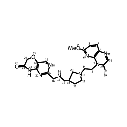 COc1ccc2c(n1)N(CCN1CC[C@@H](CNCc3ncc4c(n3)NC(=O)CO4)C1)C(F)C=N2